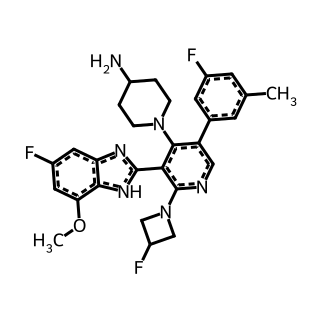 COc1cc(F)cc2nc(-c3c(N4CC(F)C4)ncc(-c4cc(C)cc(F)c4)c3N3CCC(N)CC3)[nH]c12